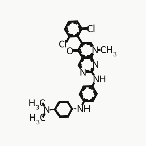 Cn1cc(-c2c(Cl)cccc2Cl)c(=O)c2cnc(Nc3ccc(N[C@H]4CC[C@H](N(C)C)CC4)cc3)nc21